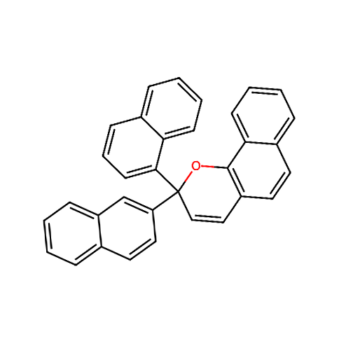 C1=CC(c2ccc3ccccc3c2)(c2cccc3ccccc23)Oc2c1ccc1ccccc21